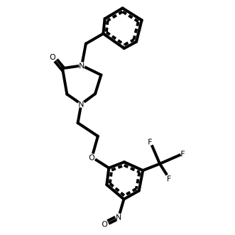 O=Nc1cc(OCCN2CCN(Cc3ccccc3)C(=O)C2)cc(C(F)(F)F)c1